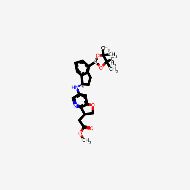 COC(=O)CC1COc2cc(N[C@@H]3CCc4c(B5OC(C)(C)C(C)(C)O5)cccc43)cnc21